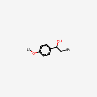 CCOc1ccc(C(O)CC(C)C)cc1